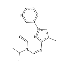 Cc1cn(-c2cccnc2)nc1/N=C\N(C=O)C(C)C